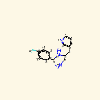 NCC(Cc1cccnc1)NCc1ccc(F)cc1